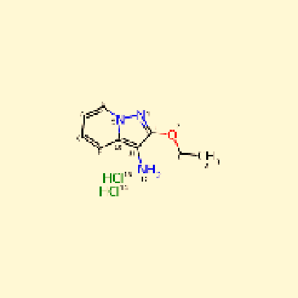 CCOc1nn2ccccc2c1N.Cl.Cl